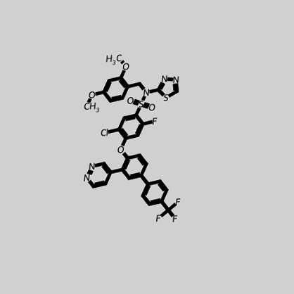 COc1ccc(CN(c2nncs2)S(=O)(=O)c2cc(Cl)c(Oc3ccc(-c4ccc(C(F)(F)F)cc4)cc3-c3ccnnc3)cc2F)c(OC)c1